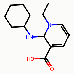 CCN1C=CC=C(C(=O)O)C1NC1CCCCC1